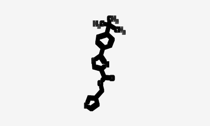 CC(C)(C)c1ccc(-c2nc(C(=O)OCc3ccsc3)cs2)cc1